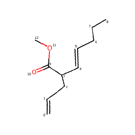 C=CCC(C=CCCC)C(=O)OC